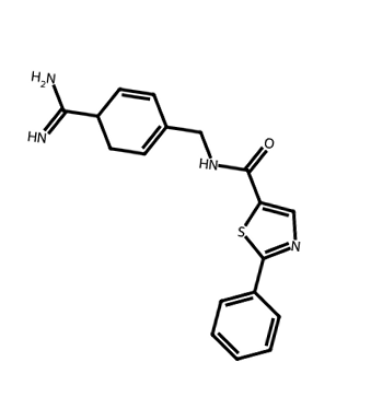 N=C(N)C1C=CC(CNC(=O)c2cnc(-c3ccccc3)s2)=CC1